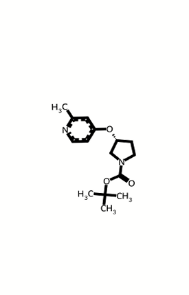 Cc1cc(O[C@@H]2CCN(C(=O)OC(C)(C)C)C2)ccn1